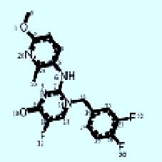 COc1ccc(Nc2nc(=O)c(F)cn2Cc2ccc(F)c(F)c2)c(C)n1